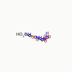 O=C(O)NCc1ccc(CO[C@H]2CC[C@H](NC(=O)NCc3ccc4c(c3)CN(C3CCC(=O)NC3=O)C4=O)CC2)cc1